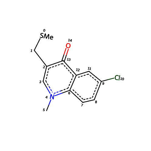 CSCc1cn(C)c2ccc(Cl)cc2c1=O